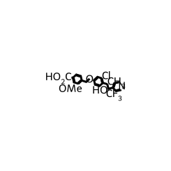 COc1cc(C(=O)O)ccc1COc1ccc(C(C)C(O)(c2ccncc2)C(F)(F)F)c(Cl)c1